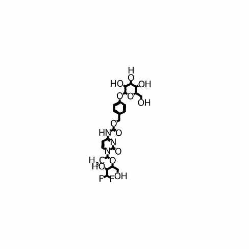 CC(OC(CO)C(O)C(F)F)n1ccc(NC(=O)OCc2ccc(OC3OC(CO)C(O)C(O)C3O)cc2)nc1=O